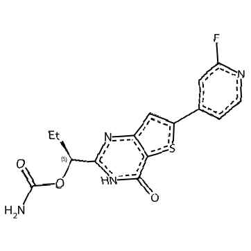 CC[C@H](OC(N)=O)c1nc2cc(-c3ccnc(F)c3)sc2c(=O)[nH]1